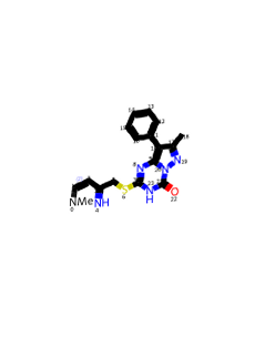 CN/C=C\C(=N)CSc1nc2c(-c3ccccc3)c(C)nn2c(=O)[nH]1